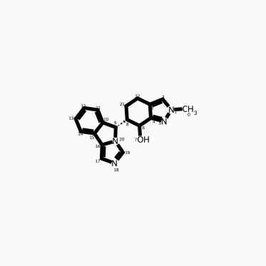 Cn1cc2c(n1)C(O)C([C@H]1c3ccccc3-c3cncn31)CC2